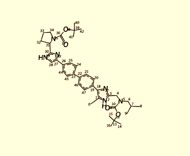 Cc1[nH]c(CN(CC(C)C)C(=O)OC(C)(C)C)nc1-c1ccc(-c2ccc(-c3c[nH]c(C4CCCN4C(=O)OC(C)(C)C)n3)cc2)cc1